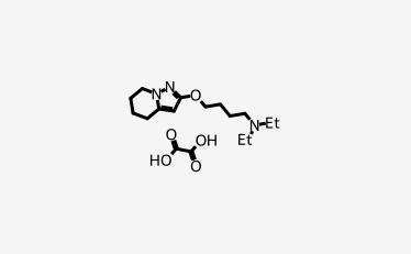 CCN(CC)CCCCOc1cc2n(n1)CCCC2.O=C(O)C(=O)O